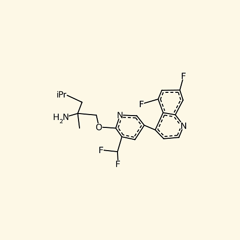 CC(C)CC(C)(N)COc1ncc(-c2ccnc3cc(F)cc(F)c23)cc1C(F)F